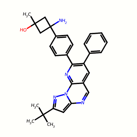 CC1(O)CC(N)(c2ccc(-c3nc4c(cnc5cc(C(C)(C)C)nn54)cc3-c3ccccc3)cc2)C1